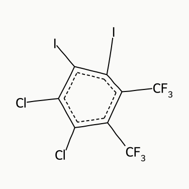 FC(F)(F)c1c(Cl)c(Cl)c(I)c(I)c1C(F)(F)F